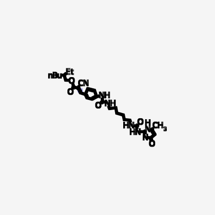 CCCCC(CC)COC(=O)/C(C#N)=C/c1ccc(NC(=O)NCCCCCCNC(=O)Nc2nc(=O)cc(C)[nH]2)cc1